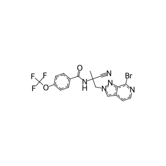 CC(C#N)(Cn1cc2ccnc(Br)c2n1)NC(=O)c1ccc(OC(F)(F)F)cc1